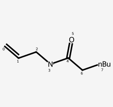 C=CC[N]C(=O)CCCCC